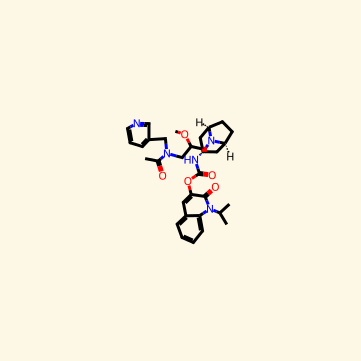 COC(CN(Cc1cccnc1)C(C)=O)CN1[C@@H]2CC[C@H]1C[C@H](NC(=O)Oc1cc3ccccc3n(C(C)C)c1=O)C2